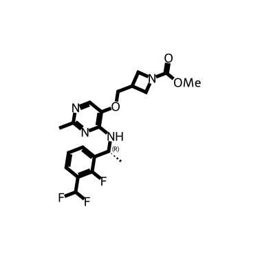 COC(=O)N1CC(COc2cnc(C)nc2N[C@H](C)c2cccc(C(F)F)c2F)C1